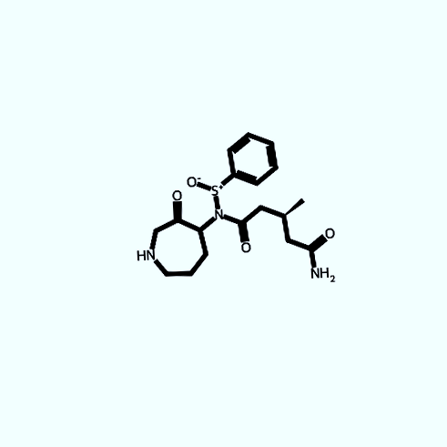 C[C@@H](CC(N)=O)CC(=O)N(C1CCCNCC1=O)[S+]([O-])c1ccccc1